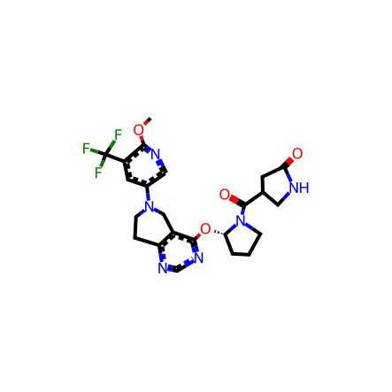 COc1ncc(N2CCc3ncnc(O[C@H]4CCCN4C(=O)C4CNC(=O)C4)c3C2)cc1C(F)(F)F